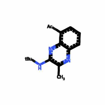 CC(=O)c1cccc2nc(C)c(NC(C)(C)C)nc12